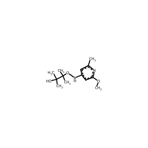 COc1cc(BOC(C)(C)C(C)(C)O)cc(C)n1